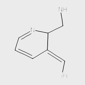 CC(C)C=C1C=CC=NC1CN